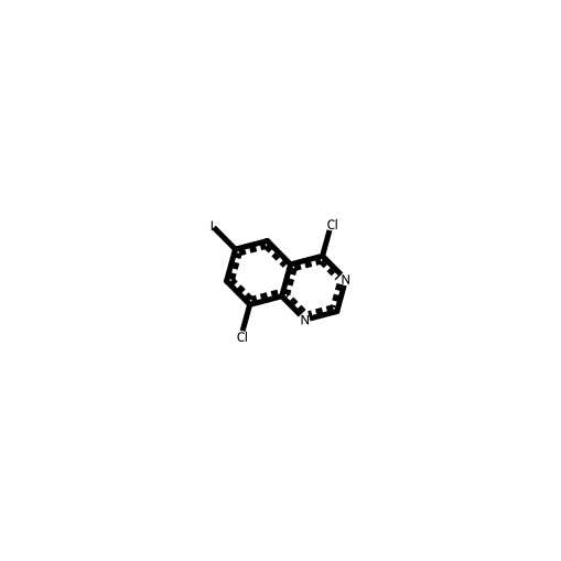 Clc1ncnc2c(Cl)cc(I)cc12